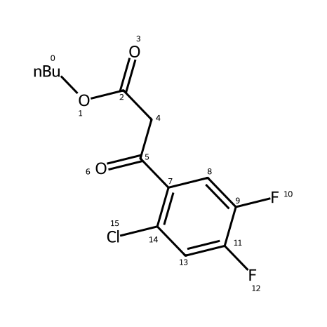 CCCCOC(=O)CC(=O)c1cc(F)c(F)cc1Cl